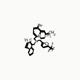 C/C=C\N1C(CN(Cc2ccc(C(F)(F)F)o2)Cc2c(C)ccc3ccccc23)=CC=C(Br)/C1=C/CC